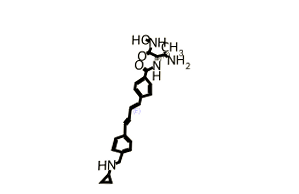 C[C@@H](N)[C@H](NC(=O)c1ccc(/C=C/C#Cc2ccc(CNC3CC3)cc2)cc1)C(=O)NO